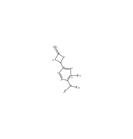 O=C1CC(c2ccc(C(F)F)c(F)c2)C1